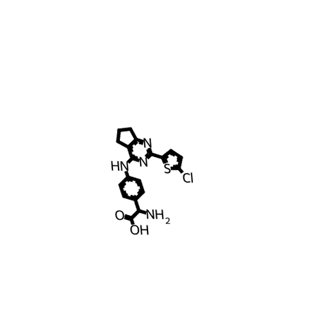 NC(C(=O)O)c1ccc(Nc2nc(-c3ccc(Cl)s3)nc3c2CCC3)cc1